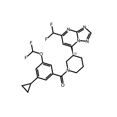 O=C(c1cc(OC(F)F)cc(C2CC2)c1)N1CCC[C@H](c2cc(C(F)F)nc3ncnn23)C1